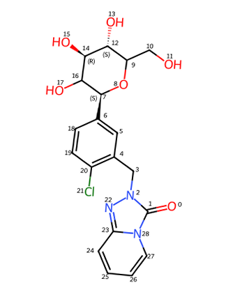 O=c1n(Cc2cc([C@@H]3OC(CO)[C@@H](O)[C@H](O)C3O)ccc2Cl)nc2ccccn12